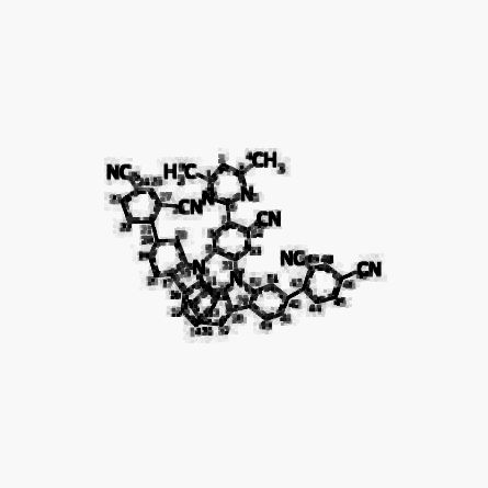 Cc1cc(C)nc(-c2cc(-n3c4ccccc4c4ccc(-c5ccc(C#N)cc5C#N)cc43)c(-n3c4ccccc4c4ccc(-c5ccc(C#N)cc5C#N)cc43)cc2C#N)n1